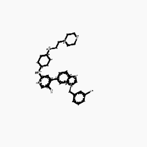 Fc1cccc(Cn2cnc3ccc(-c4cc(NC5CCC(NCCN6CCOCC6)CC5)ncc4Cl)cc32)c1